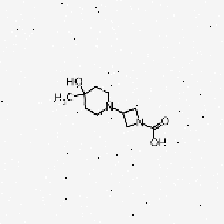 CC1(O)CCN(C2CN(C(=O)O)C2)CC1